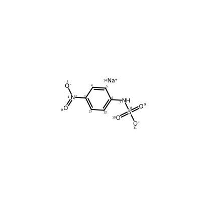 O=[N+]([O-])c1ccc(NS(=O)(=O)[O-])cc1.[Na+]